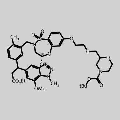 CCOC(=O)CC(c1ccc(C)c(CN2C[C@@H](C)Oc3cc(OCCOCC4CN(C(=O)OC(C)(C)C)CCO4)ccc3S2(=O)=O)c1)c1cc(OC)c2c(c1)nnn2C